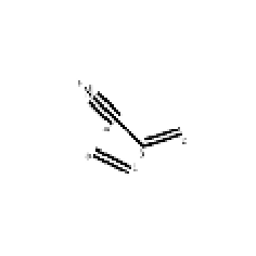 C=C.C=CC#N